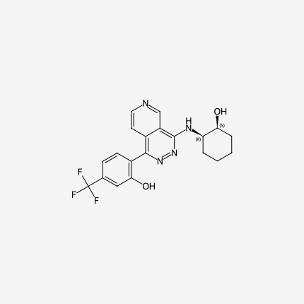 Oc1cc(C(F)(F)F)ccc1-c1nnc(N[C@@H]2CCCC[C@@H]2O)c2cnccc12